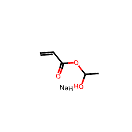 C=CC(=O)OC(C)O.[NaH]